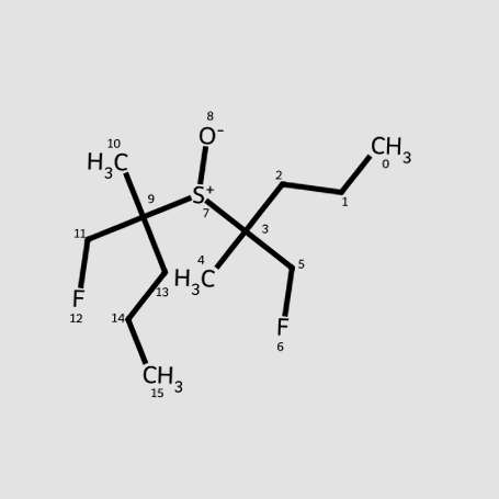 CCCC(C)(CF)[S+]([O-])C(C)(CF)CCC